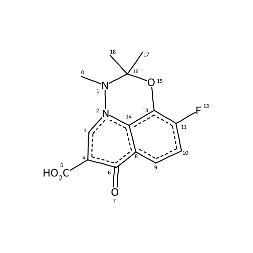 CN1n2cc(C(=O)O)c(=O)c3ccc(F)c(c32)OC1(C)C